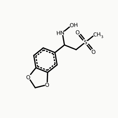 CS(=O)(=O)CC(NO)c1ccc2c(c1)OCO2